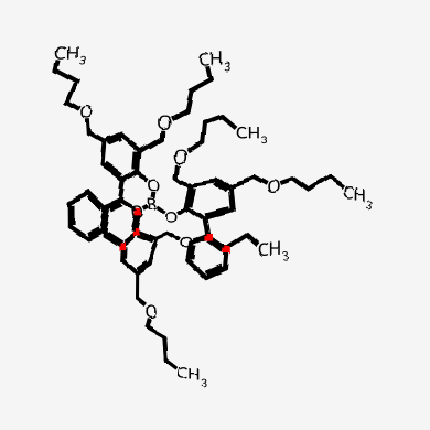 CCCCOCc1cc(COCCCC)c(OB(Oc2c(COCCCC)cc(COCCCC)cc2-c2ccccc2)Oc2c(COCCCC)cc(COCCCC)cc2-c2ccccc2)c(-c2ccccc2)c1